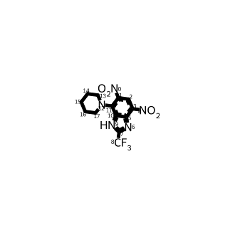 O=[N+]([O-])c1cc([N+](=O)[O-])c2nc(C(F)(F)F)[nH]c2c1N1CCCCC1